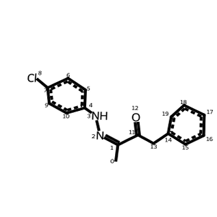 CC(=NNc1ccc(Cl)cc1)C(=O)Cc1ccccc1